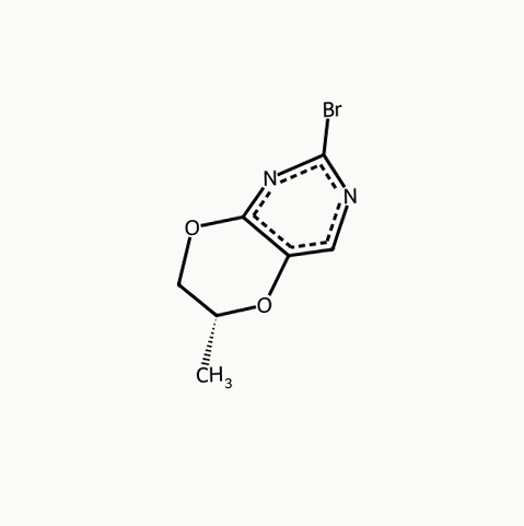 C[C@@H]1COc2nc(Br)ncc2O1